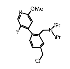 COc1cc(-c2ccc(CCl)cc2CN(C(C)C)C(C)C)c(F)cn1